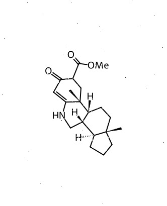 COC(=O)C1C[C@@]2(C)C(=CC1=O)NC[C@@H]1[C@H]2CC[C@]2(C)CCC[C@@H]12